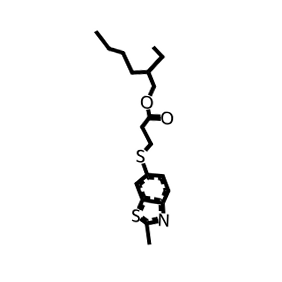 CCCCC(CC)COC(=O)CCSc1ccc2nc(C)sc2c1